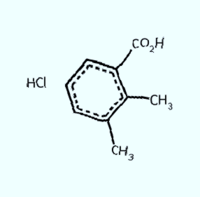 Cc1cccc(C(=O)O)c1C.Cl